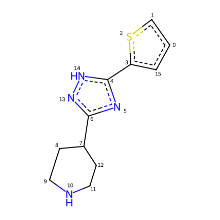 c1csc(-c2nc(C3CCNCC3)n[nH]2)c1